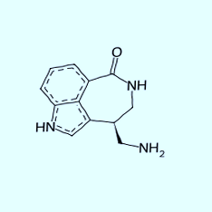 NC[C@@H]1CNC(=O)c2cccc3[nH]cc1c23